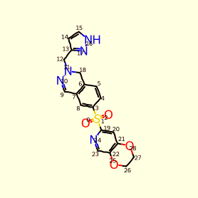 O=S(=O)(c1ccc2c(c1)C=NN(Cc1cc[nH]n1)C2)c1cc2c(cn1)OCCO2